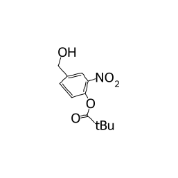 CC(C)(C)C(=O)Oc1ccc(CO)cc1[N+](=O)[O-]